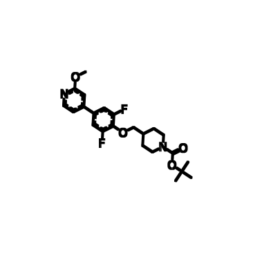 COc1cc(-c2cc(F)c(OCC3CCN(C(=O)OC(C)(C)C)CC3)c(F)c2)ccn1